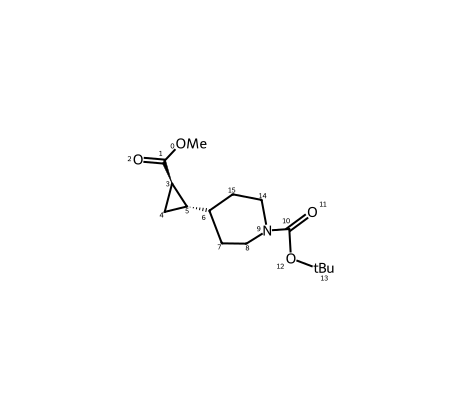 COC(=O)[C@@H]1C[C@H]1C1CCN(C(=O)OC(C)(C)C)CC1